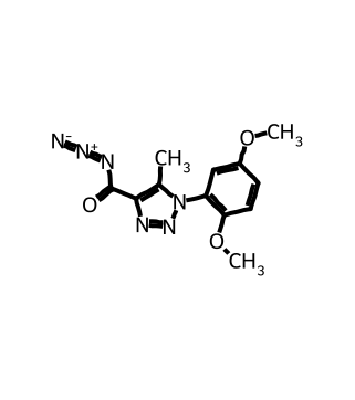 COc1ccc(OC)c(-n2nnc(C(=O)N=[N+]=[N-])c2C)c1